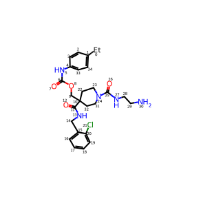 CCc1ccc(NC(=O)OCC2(C(=O)NCc3ccccc3Cl)CCN(C(=O)NCCN)CC2)cc1